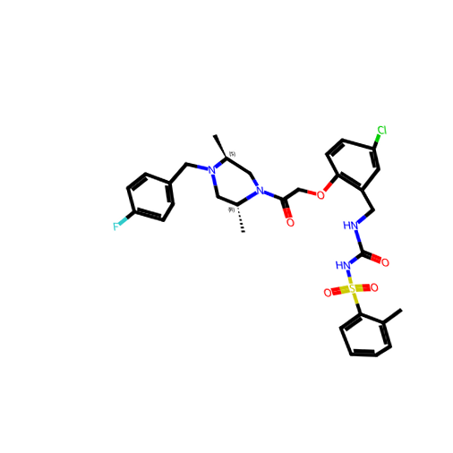 Cc1ccccc1S(=O)(=O)NC(=O)NCc1cc(Cl)ccc1OCC(=O)N1C[C@H](C)N(Cc2ccc(F)cc2)C[C@H]1C